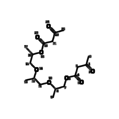 CC(=O)CC(=O)OCC(C)OCC(C)OCC(C)OC(=O)CC(C)=O